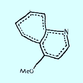 COc1ccnc2c[c]ccc12